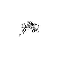 C#CCCOc1cccc2c1CN(C(CCC(=O)OC)C(N)=O)C2=O